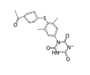 CC(=O)c1ccc(Sc2c(C)cc(-n3c(=O)[nH]c(=O)n(C)c3=O)cc2C)cc1